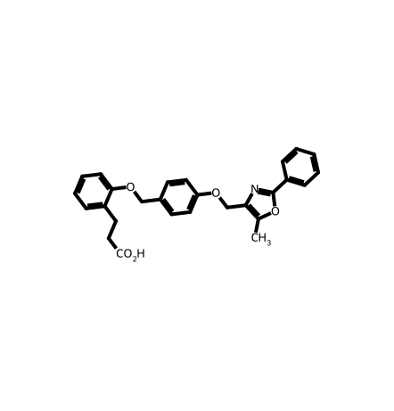 Cc1oc(-c2ccccc2)nc1COc1ccc(COc2ccccc2CCC(=O)O)cc1